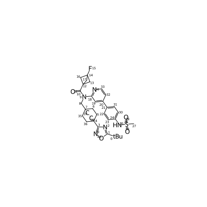 CC(C)(C)c1nc(C23CCC(CN(C(=O)C45CC(F)(C4)C5)c4cc(-c5ccc(NS(C)(=O)=O)cc5)ccn4)(CC2)CC3)no1